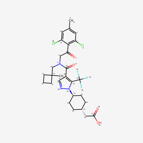 Cc1cc(Cl)c(C(=O)CN(CC2(C)CCC2)C(=O)c2cnn([C@H]3CC[C@H](CC(=O)O)CC3)c2C(F)(F)F)c(Cl)c1